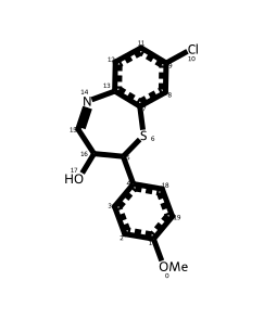 COc1ccc(C2Sc3cc(Cl)ccc3N=CC2O)cc1